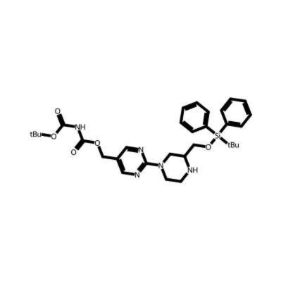 CC(C)(C)OC(=O)NC(=O)OCc1cnc(N2CCNC(CO[Si](c3ccccc3)(c3ccccc3)C(C)(C)C)C2)nc1